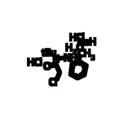 CC(C)(C)N(N)C(=O)CCl.Cc1ccccc1.Cl.Cl.O.[NaH]